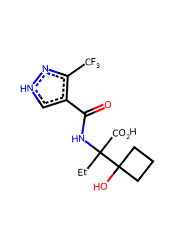 CCC(NC(=O)c1c[nH]nc1C(F)(F)F)(C(=O)O)C1(O)CCC1